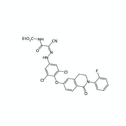 CCOC(=O)NC(=O)C(C#N)=NNc1cc(Cl)c(Oc2ccc3c(c2)CCN(c2ccccc2F)C3=O)c(Cl)c1